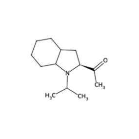 CC(=O)[C@@H]1CC2CCCCC2N1C(C)C